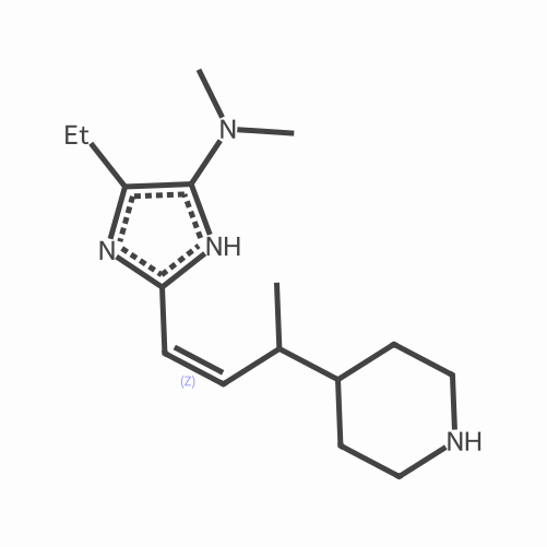 CCc1nc(/C=C\C(C)C2CCNCC2)[nH]c1N(C)C